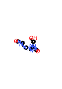 OCc1cccc(-c2nc(N3CCOCC3)c3ncn(C4CCN(Cc5cccc(N6CCOCC6)n5)CC4)c3n2)c1